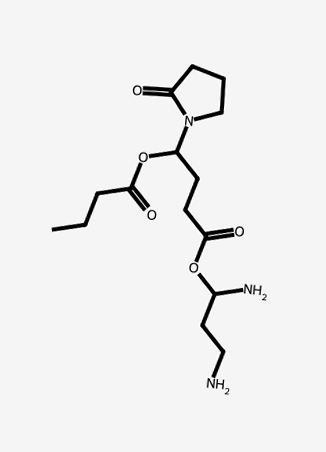 CCCC(=O)OC(CCC(=O)OC(N)CCN)N1CCCC1=O